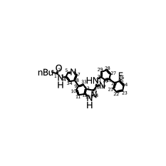 CCCCC(=O)Nc1cncc(-c2ccc3[nH]nc(-c4nc5c(-c6ccccc6F)cccc5[nH]4)c3c2)c1